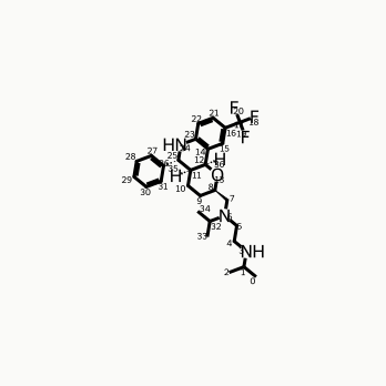 CC(C)NCCN(C[C@H]1CC[C@@H]2[C@H](O1)c1cc(C(F)(F)F)ccc1N[C@H]2c1ccccc1)C(C)C